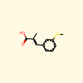 CSc1cccc(/C=C(\C)C(=O)O)c1